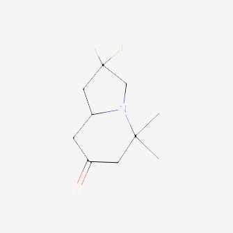 CC1(C)CC(=O)CC2CC(F)(F)CN21